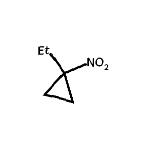 CCC1([N+](=O)[O-])CC1